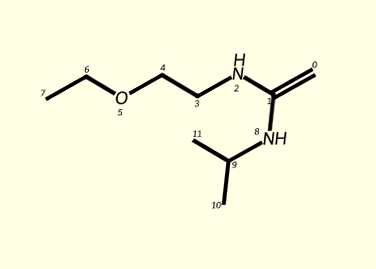 C=C(NCCOCC)NC(C)C